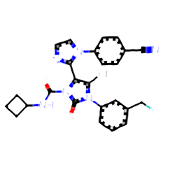 Cc1c(-c2nccn2-c2ccc(C#N)cc2)n(C(=O)NC2CCC2)c(=O)n1-c1cccc(CF)c1